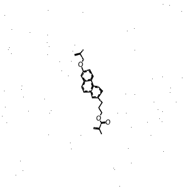 C=C(C)COc1ccc2c(ccc3cc(CCCOC(=O)C(=C)C)ccc32)c1